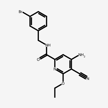 CCOc1nc(C(=O)NCc2cccc(Br)c2)cc(N)c1C#N